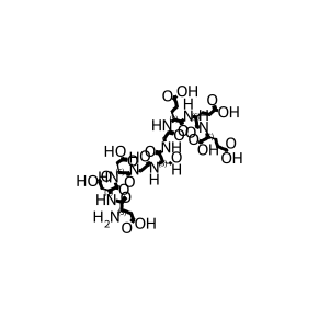 N[C@@H](CC(=O)O)C(=O)N[C@@H](CC(=O)O)C(=O)N[C@@H](CC(=O)O)C(=O)NCC(=O)N[C@@H](CO)C(=O)NCC(=O)N[C@@H](CCC(=O)O)C(=O)N[C@@H](CCC(=O)O)C(=O)N[C@@H](CCC(=O)O)C(=O)O